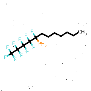 CCCCCCCC(F)(P)C(F)(F)C(F)(F)C(F)(F)C(F)(F)F